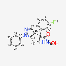 Cc1c(F)cccc1C1(C(=O)NO)CCc2c1cnn2-c1ccccc1